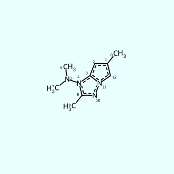 Cc1cc2n(N(C)C)c(C)nn2c1